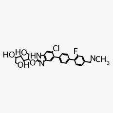 C/N=C/c1ccc(-c2ccc(-c3cc4nc(O[C@@H]5CO[C@H]6[C@@H]5OC[C@H]6O)[nH]c4cc3Cl)cc2)c(F)c1